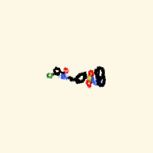 O=C(NCCc1ccc(S(=O)(=O)NC23CC4CC(CC(C4)C2)C3)cc1)c1cccc(Cl)c1